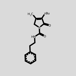 CCCCC1=C(C)CN(C(=O)NCCc2ccccc2)C1=O